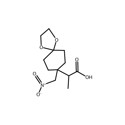 CC(C(=O)O)C1(C[N+](=O)[O-])CCC2(CC1)OCCO2